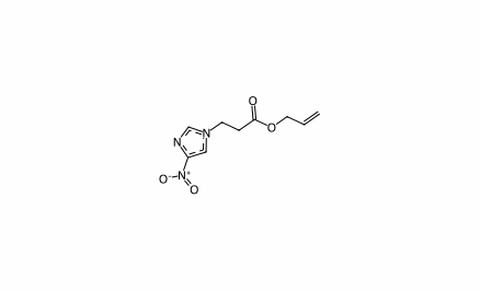 C=CCOC(=O)CCn1cnc([N+](=O)[O-])c1